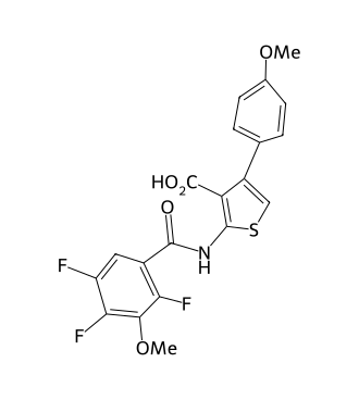 COc1ccc(-c2csc(NC(=O)c3cc(F)c(F)c(OC)c3F)c2C(=O)O)cc1